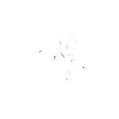 C=CCOC(=O)C1=C(OP(=O)(OCC(Cl)(Cl)Cl)OCC(Cl)(Cl)Cl)[C@H](C)[C@@H]2[C@@H]([C@@H](C)O)C(=O)N12